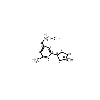 Cc1cc(CN)cc(C2CCCC2)n1.Cl.Cl